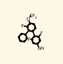 CCCc1cc(F)c(-c2ccc(OC(F)(F)F)c(F)c2-c2ccccc2)c(F)c1